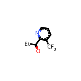 CCC(=O)c1ncccc1C(F)(F)F